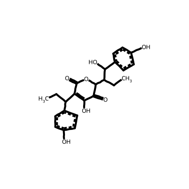 CCC(C1=C(O)C(=O)C(C(CC)C(O)c2ccc(O)cc2)OC1=O)c1ccc(O)cc1